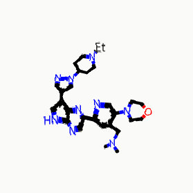 CCN1CCC(n2cc(-c3c[nH]c4ncc(-c5cc(CN(C)C)c(N6CCOCC6)cn5)nc34)cn2)CC1